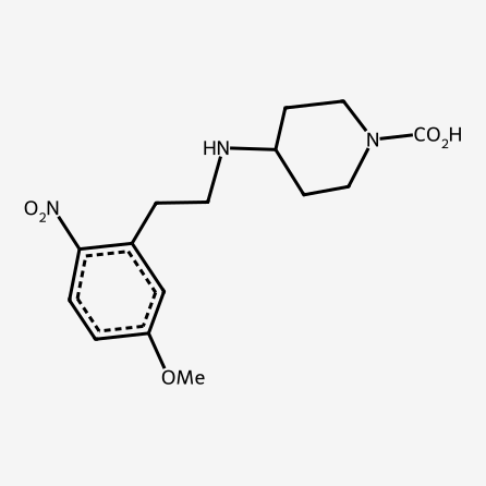 COc1ccc([N+](=O)[O-])c(CCNC2CCN(C(=O)O)CC2)c1